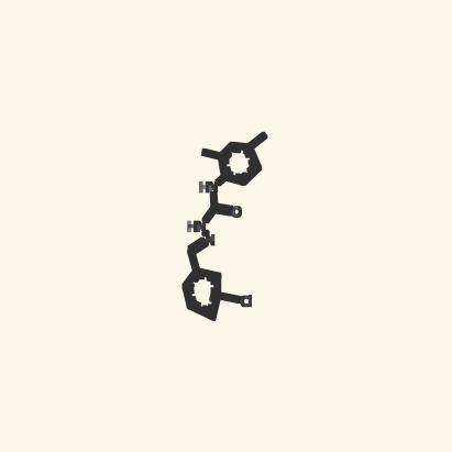 Cc1ccc(NC(=O)NN=Cc2cccc(Cl)c2)c(C)c1